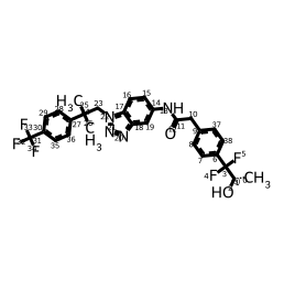 C[C@H](O)C(F)(F)c1ccc(CC(=O)Nc2ccc3c(c2)nnn3CC(C)(C)c2ccc(C(F)(F)F)cc2)cc1